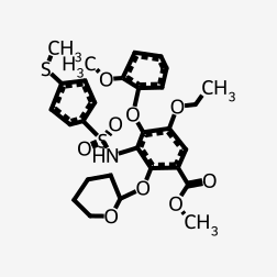 CCOc1cc(C(=O)OC)c(OC2CCCCO2)c(NS(=O)(=O)c2ccc(SC)cc2)c1Oc1ccccc1OC